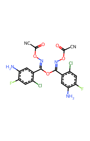 N#CC(=O)ON=C(OC(=NOC(=O)C#N)c1cc(N)c(F)cc1Cl)c1cc(N)c(F)cc1Cl